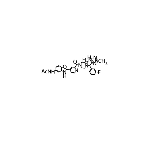 CC(=O)Nc1ccc2c(c1)NC(c1ccnc(C(=O)N3CCN(C(/C(N)=N/N(C)N)c4cccc(F)c4)CC3)c1)O2